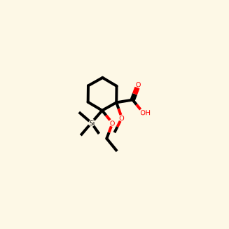 CCOC1([Si](C)(C)C)CCCCC1(OC)C(=O)O